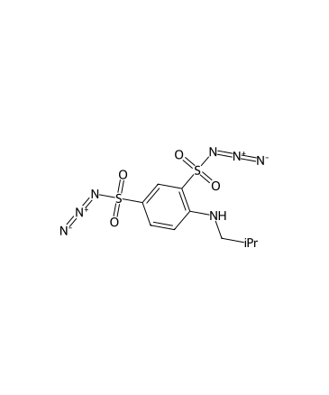 CC(C)CNc1ccc(S(=O)(=O)N=[N+]=[N-])cc1S(=O)(=O)N=[N+]=[N-]